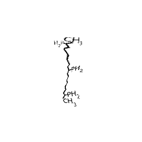 CCC(P)CCCCCCCC(P)CCCCCCC(P)CC